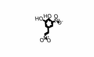 O=[N+]([O-])C=Cc1cc(O)c(O)c([N+](=O)[O-])c1